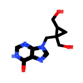 O=c1[nH]cnc2c1ncn2CC1(CO)CC1CO